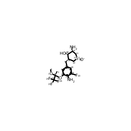 CO[C@](C)(Oc1cc(C[C@@H]2C[S@@+]([O-])C[C@H](N)[C@H]2O)cc(F)c1N)C(F)(F)F